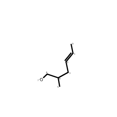 CC=CCC(C)C[O]